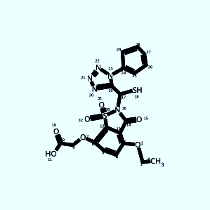 CCOc1ccc(OCC(=O)O)c2c1C(=O)N(C(S)c1nnnn1-c1ccccc1)S2(=O)=O